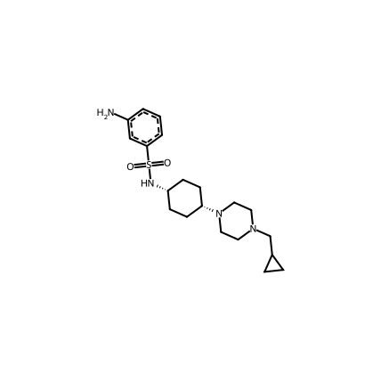 Nc1cccc(S(=O)(=O)N[C@H]2CC[C@@H](N3CCN(CC4CC4)CC3)CC2)c1